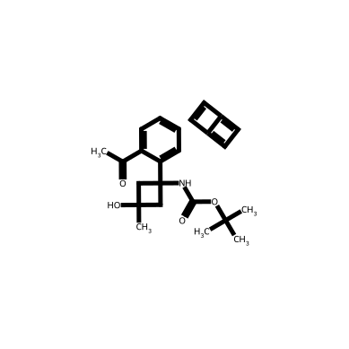 CC(=O)c1ccccc1C1(NC(=O)OC(C)(C)C)CC(C)(O)C1.c1cc2ccc1-2